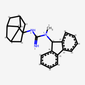 CN(C(=N)NC12CC3CC(CC(C3)C1)C2)C1c2ccccc2-c2ccccc21